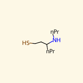 CCCNC(CCC)CCS